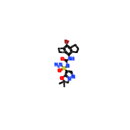 CC1(C)Cn2ncc(S(N)(=O)=NC(=O)Nc3c4c(c(Br)c5c3CC5)CCC4)c2O1